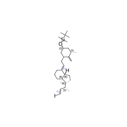 C=C1C(C/C=C2\CCC[C@]3(C)[C@@H]([C@H](C)/C=C/I)CC[C@@H]23)C[C@@H](O[Si](C)(C)C(C)(C)C)C[C@@H]1C